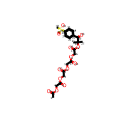 CC(=O)OCC(=O)OCC(=O)OCC(=O)OCC(=O)OC(C)(C)C(=O)c1ccc(S(C)(=O)=O)cc1